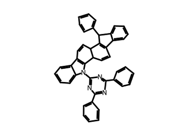 C1=CC2c3c(c4ccccc4n3-c3nc(-c4ccccc4)nc(-c4ccccc4)n3)C=CC2C2=C1c1ccccc1C2c1ccccc1